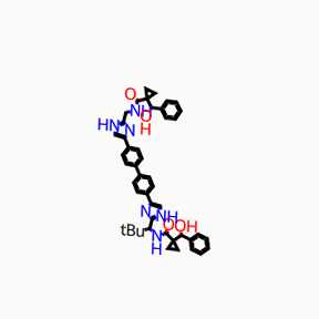 CC(C)(C)C(NC(=O)C1(C(O)c2ccccc2)CC1)c1nc(-c2ccc(-c3ccc(-c4c[nH]c(CNC(=O)C5(C(O)c6ccccc6)CC5)n4)cc3)cc2)c[nH]1